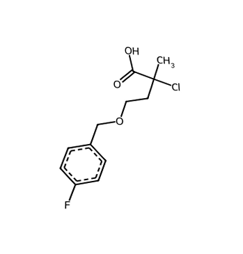 CC(Cl)(CCOCc1ccc(F)cc1)C(=O)O